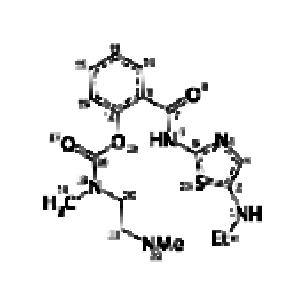 CCNc1cnc(NC(=O)c2ccccc2OC(=O)N(C)CCNC)s1